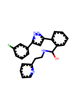 OC(NCCc1ccccn1)c1ccccc1-c1cc(-c2cccc(F)c2)[nH]n1